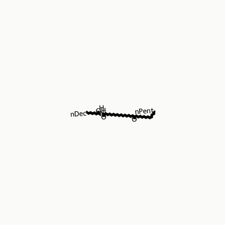 CCCCC/C=C\C/C=C\CCCCCCCC(=O)CCCCCCCCCCCCCCCC(=O)NCC(O)CCCCCCCCCCCCCCCC